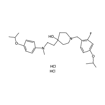 CC(C)Oc1ccc(N(C)CCC2(O)CCN(Cc3ccc(OC(C)C)cc3F)CC2)cc1.Cl.Cl